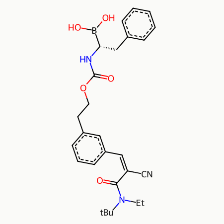 CCN(C(=O)C(C#N)=Cc1cccc(CCOC(=O)N[C@@H](Cc2ccccc2)B(O)O)c1)C(C)(C)C